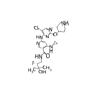 CC(C)(O)[C@H](F)CNC(=O)c1cnc(Nc2nc(OC3CCNCC3)ncc2Cl)cc1NC1CC1